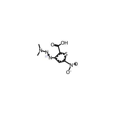 CN(C)/N=N/c1cc([N+](=O)[O-])sc1C(=O)O